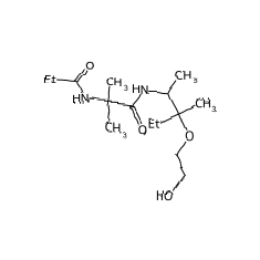 CCC(=O)NC(C)(C)C(=O)NC(C)C(C)(CC)OCCO